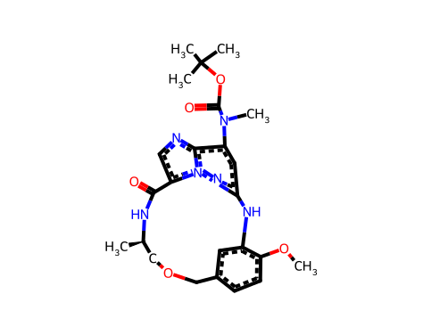 COc1ccc2cc1Nc1cc(N(C)C(=O)OC(C)(C)C)c3ncc(n3n1)C(=O)N[C@H](C)COC2